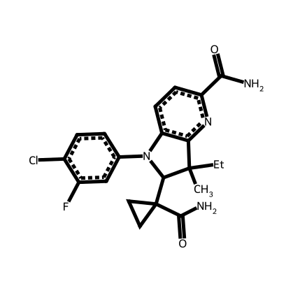 CCC1(C)c2nc(C(N)=O)ccc2N(c2ccc(Cl)c(F)c2)C1C1(C(N)=O)CC1